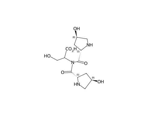 O=C(O)C(CO)N(C(=O)[C@@H]1C[C@@H](O)CN1)C(=O)[C@@H]1C[C@@H](O)CN1